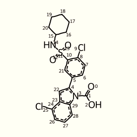 O=C(O)n1c(-c2ccc(Cl)c(S(=O)(=O)NC3CCCCC3)c2)cc2c(Cl)cccc21